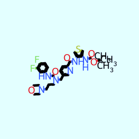 CC(C)(C)OC(=O)Nc1cscc1NC(=O)c1ccc(CN(CCCN2CCOCC2)C(=O)Nc2ccc(F)c(F)c2)cn1